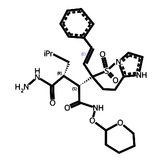 CC(C)C[C@@H](C(=O)NN)[C@@H](C(=O)NOC1CCCCO1)C(/C=C/c1ccccc1)(CCc1ncc[nH]1)S(C)(=O)=O